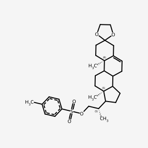 Cc1ccc(S(=O)(=O)OC[C@@H](C)C2CCC3C4CC=C5CC6(CC[C@]5(C)C4CC[C@@]32C)OCCO6)cc1